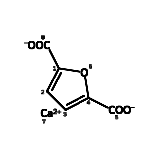 O=C([O-])c1ccc(C(=O)[O-])o1.[Ca+2]